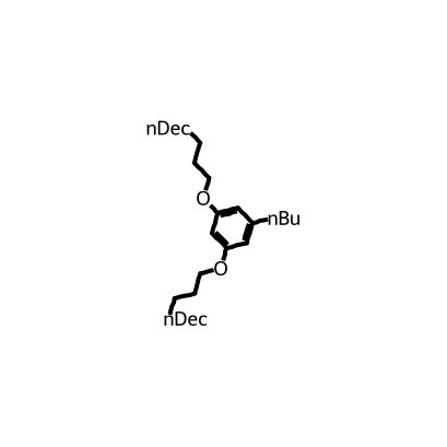 [CH2]CCCc1cc(OCCCCCCCCCCCCC)cc(OCCCCCCCCCCCCC)c1